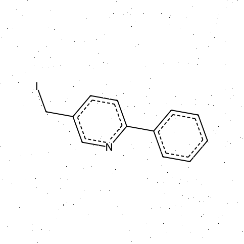 ICc1ccc(-c2ccccc2)nc1